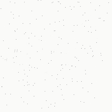 CC1(C)O[C@@H]2[C@@H]3C=C[C@@H](OO3)[C@]2(COC(=O)c2ccccc2)O1